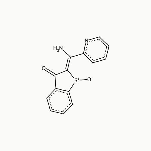 N/C(=C1\C(=O)c2ccccc2[S+]1[O-])c1ccccn1